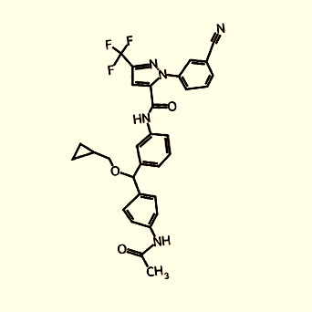 CC(=O)Nc1ccc(C(OCC2CC2)c2cccc(NC(=O)c3cc(C(F)(F)F)nn3-c3cccc(C#N)c3)c2)cc1